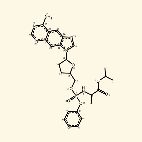 CC(C)OC(=O)C(C)NP(=O)(OCC1CCC(n2cnc3cc4c(N)ncnc4cc32)O1)Oc1ccccc1